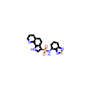 O=S(=O)(Nc1cccc2nsnc12)c1c[nH]c2c1ccc1cccnc12